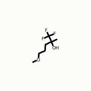 COCCCC(C)(O)C(F)(F)F